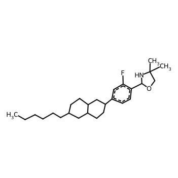 CCCCCCC1CCC2CC(c3ccc(C4NC(C)(C)CO4)c(F)c3)CCC2C1